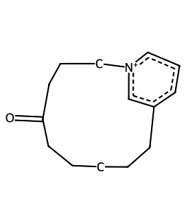 O=C1CCCCCc2ccc[n+](c2)CCC1